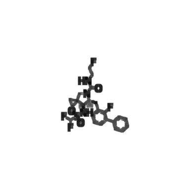 O=C(NCCF)N1CC2(CC2)[C@H](NS(=O)(=O)C(F)F)[C@@H]1Cc1cccc(-c2ccccc2)c1F